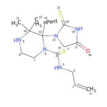 C=CCNC(=S)N1CCNC(C)(C)C1(CCCCC)N1CC(=O)NC1=S